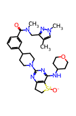 Cc1cn(C)nc1CN(C)C(=O)c1cccc(C2CCN(c3nc4c(c(NC5CCOCC5)n3)[S+]([O-])CC4)CC2)c1